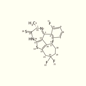 C[C@@H]1N=C(c2c(F)cccc2F)c2c(sc3c2CCCC(F)(F)C3)NC1=S